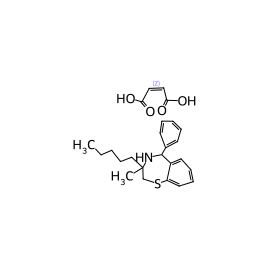 CCCCCC1(C)CSc2ccccc2C(c2ccccc2)N1.O=C(O)/C=C\C(=O)O